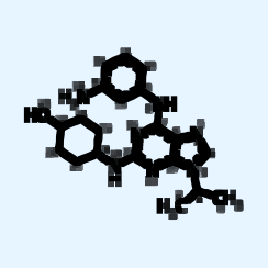 CC(C)n1cnc2c(Nc3cccc(N)c3)nc(NC3CCC(O)CC3)nc21